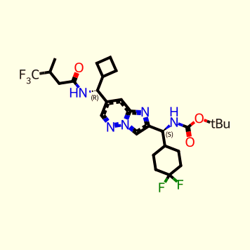 CC(CC(=O)N[C@@H](c1cnn2cc([C@@H](NC(=O)OC(C)(C)C)C3CCC(F)(F)CC3)nc2c1)C1CCC1)C(F)(F)F